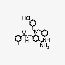 Cc1cccc(C(=O)NCc2ccc(C(=N)N)cc2N(Cc2ccccc2)Cc2ccccc2)c1.Cl